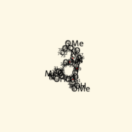 COc1ccc(N(CCSC2C(=O)O[C@@]3(C)[C@H]2[C@@H](C)C(=O)[C@H](C)C[C@@](C)(OC)[C@H](O[C@@H]2O[C@H](C)C[C@H](N(C)C)[C@H]2O)[C@@H](C)[C@H](O[C@H]2C[C@@](C)(OC)[C@@H](O)[C@H](C)O2)[C@@H](C)C(=O)O[C@@H]3I)C(=O)c2ccncc2)cc1OC1CCCC1